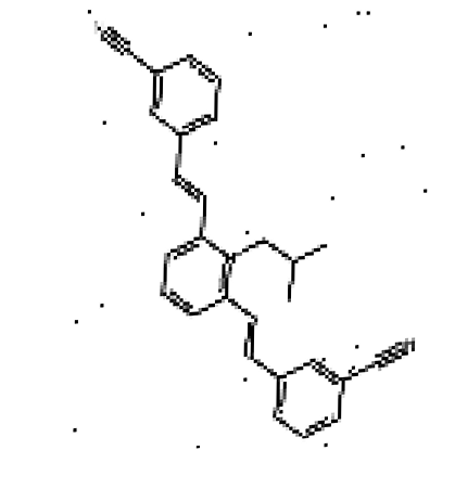 CC(C)C[n+]1c(/C=C/c2cccc(C#N)c2)cccc1/C=C/c1cccc(C#N)c1